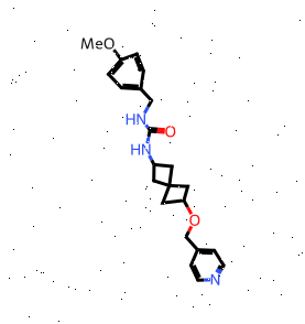 COc1ccc(CNC(=O)NC2CC3(C2)CC(OCc2ccncc2)C3)cc1